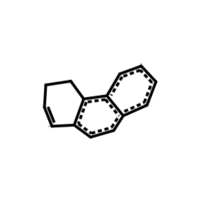 [C]1=CCCc2c1ccc1cc[c]cc21